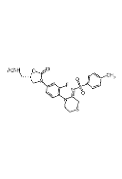 CC(=O)NC[C@H]1CN(c2ccc(N3CCSCC3=NS(=O)(=O)c3ccc(C)cc3)c(F)c2)C(=O)O1